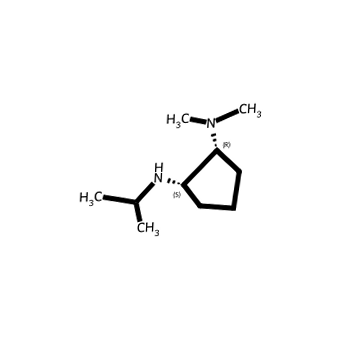 CC(C)N[C@H]1CCC[C@H]1N(C)C